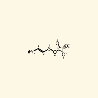 CC(C)C=CSO[Cl+3]([O-])([O-])[O-]